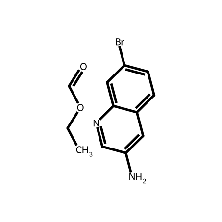 CCOC=O.Nc1cnc2cc(Br)ccc2c1